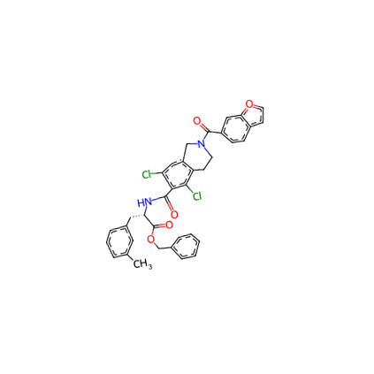 Cc1cccc(C[C@H](NC(=O)c2c(Cl)cc3c(c2Cl)CCN(C(=O)c2ccc4ccoc4c2)C3)C(=O)OCc2ccccc2)c1